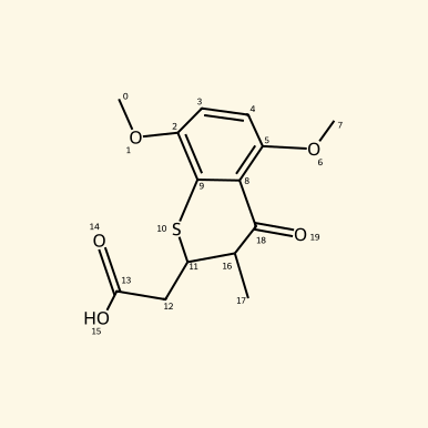 COc1ccc(OC)c2c1SC(CC(=O)O)C(C)C2=O